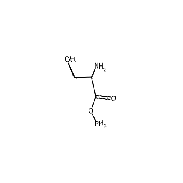 NC(CO)C(=O)OP